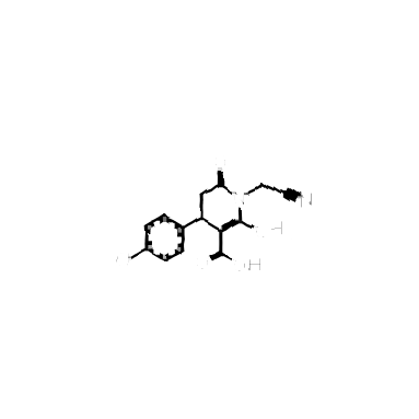 CC1=C(C(=O)O)C(c2ccc(Cl)cc2)CC(=O)N1CC#N